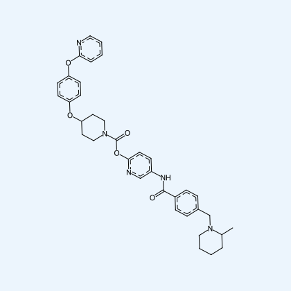 CC1CCCCN1Cc1ccc(C(=O)Nc2ccc(OC(=O)N3CCC(Oc4ccc(Oc5ccccn5)cc4)CC3)nc2)cc1